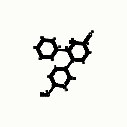 COc1ccc(-c2ccc(=O)[nH]c2-c2ccccc2)nn1